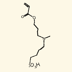 C=CC(=O)OCCCN(C)CCCCS(=O)(=O)O